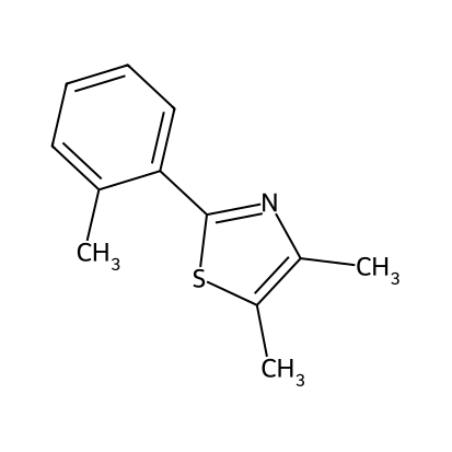 Cc1ccccc1-c1nc(C)c(C)s1